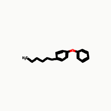 CCCCCCc1ccc(Oc2ccccc2)cc1